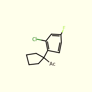 CC(=O)C1(c2ccc(F)cc2Cl)CCCC1